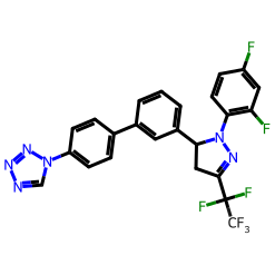 Fc1ccc(N2N=C(C(F)(F)C(F)(F)F)CC2c2cccc(-c3ccc(-n4cnnn4)cc3)c2)c(F)c1